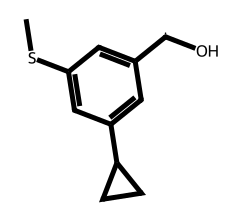 CSc1cc([CH]O)cc(C2CC2)c1